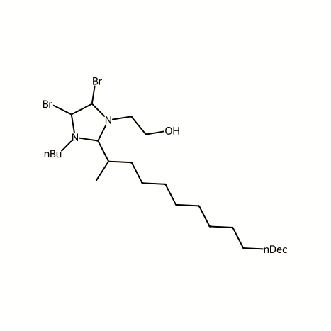 CCCCCCCCCCCCCCCCCCC(C)C1N(CCO)C(Br)C(Br)N1CCCC